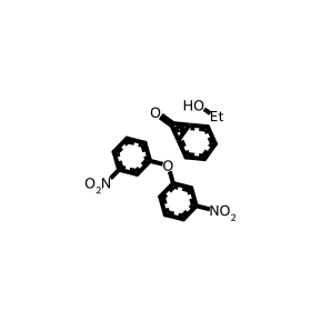 CCO.O=[N+]([O-])c1cccc(Oc2cccc([N+](=O)[O-])c2)c1.O=c1c2ccccc12